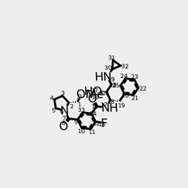 COC[C@H]1CCCN1C(=O)c1ccc(F)c(C(=O)N[C@@H](Cc2ccccc2)[C@H](O)CNC2CC2)c1